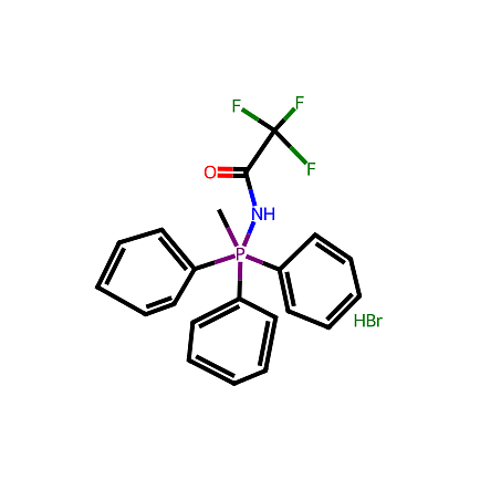 Br.CP(NC(=O)C(F)(F)F)(c1ccccc1)(c1ccccc1)c1ccccc1